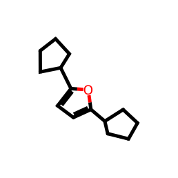 c1cc(C2CCCC2)oc1C1CCCC1